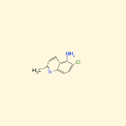 Cc1ccc2c(N)c(Cl)ccc2n1